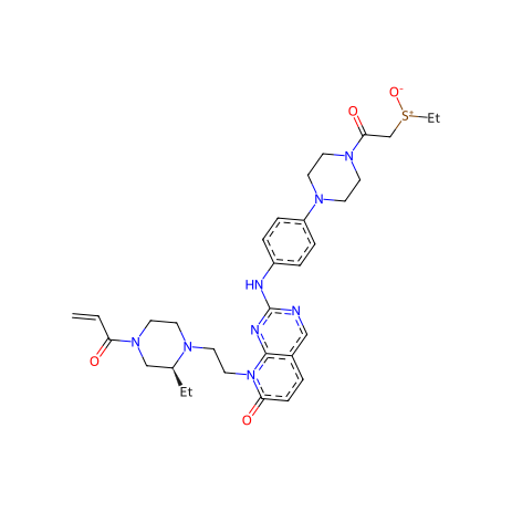 C=CC(=O)N1CCN(CCn2c(=O)ccc3cnc(Nc4ccc(N5CCN(C(=O)C[S+]([O-])CC)CC5)cc4)nc32)[C@@H](CC)C1